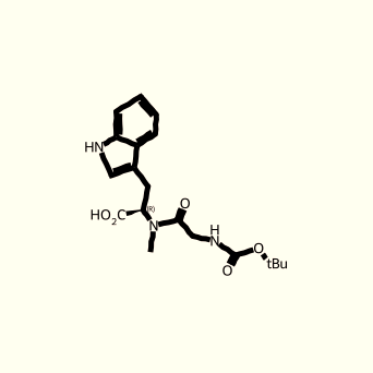 CN(C(=O)CNC(=O)OC(C)(C)C)[C@H](Cc1c[nH]c2ccccc12)C(=O)O